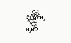 C[C@H]1CCC(=O)N1c1nc2c(c(-c3ccc(C(N)=O)cc3)n1)CCC2